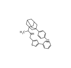 CC(NCc1cc(-c2ccccc2)cs1)C12CC3CC(CC(c4ccc(Cl)cc4)(C3)C1)C2